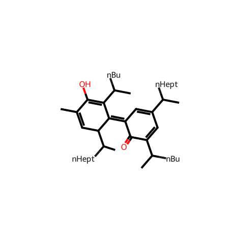 CCCCCCCC(C)C1=CC(=C2C(C(C)CCCC)=C(O)C(C)=CC2C(C)CCCCCCC)C(=O)C(C(C)CCCC)=C1